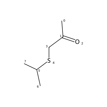 CC(=O)CSC(C)C